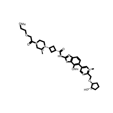 COCCOCC(=O)N1CCN([C@H]2C[C@@H](C(=O)Nc3nc4ccc(-c5cnc(CO[C@H]6CCC[C@@H]6O)[n+](C)c5)c(OC)c4s3)C2)[C@@H](C)C1